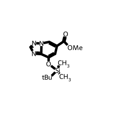 COC(=O)c1cc(O[Si](C)(C)C(C)(C)C)c2ncnn2c1